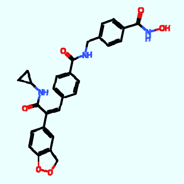 O=C(NC1CC1)C(=Cc1ccc(C(=O)NCc2ccc(C(=O)NO)cc2)cc1)c1ccc2c(c1)COO2